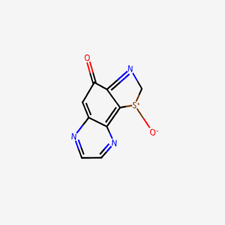 O=C1C=c2nccnc2=C2C1=NC[S+]2[O-]